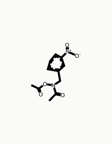 CC(=O)ON(Cc1cccc([N+](=O)[O-])c1)C(C)=O